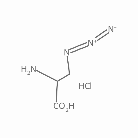 Cl.[N-]=[N+]=NCC(N)C(=O)O